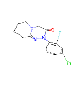 O=C1CN2CCCCC2=NN1c1ccc(Cl)cc1F